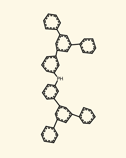 c1ccc(-c2cc(-c3ccccc3)cc(-c3cccc(Pc4cccc(-c5cc(-c6ccccc6)cc(-c6ccccc6)c5)c4)c3)c2)cc1